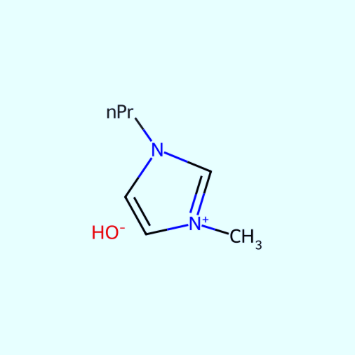 CCCn1cc[n+](C)c1.[OH-]